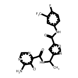 CC(NC(=O)c1ncnc(N)c1Cl)c1cc(C(=O)Nc2ccc(F)c(C(F)(F)F)c2)on1